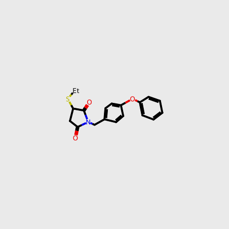 CCSC1CC(=O)N(Cc2ccc(Oc3ccccc3)cc2)C1=O